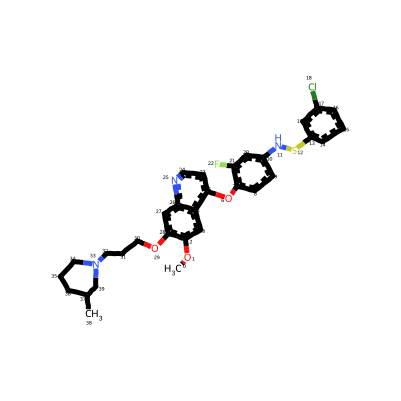 COc1cc2c(Oc3ccc(NSc4cccc(Cl)c4)cc3F)ccnc2cc1OCCCN1CCCC(C)C1